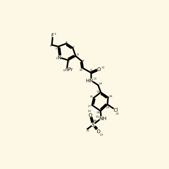 CCCc1nc(CF)ccc1/C=C/C(=O)NCc1ccc(NS(C)(=O)=O)c(Cl)c1